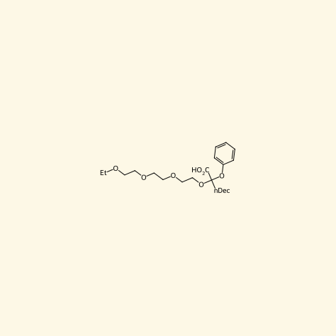 CCCCCCCCCCC(OCCOCCOCCOCC)(Oc1ccccc1)C(=O)O